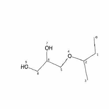 CCC(C)OCC(O)CO